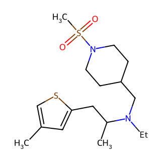 CCN(CC1CCN(S(C)(=O)=O)CC1)C(C)Cc1cc(C)cs1